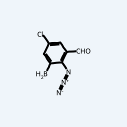 Bc1cc(Cl)cc(C=O)c1N=[N+]=[N-]